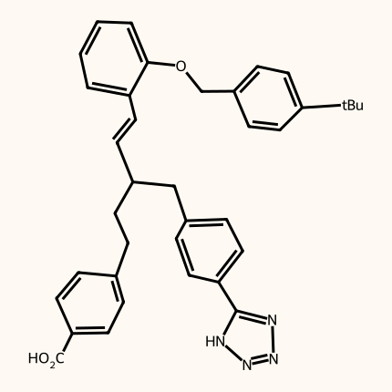 CC(C)(C)c1ccc(COc2ccccc2C=CC(CCc2ccc(C(=O)O)cc2)Cc2ccc(-c3nnn[nH]3)cc2)cc1